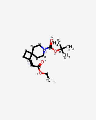 CCOC(=O)/C=C1/CCC12CCN(C(=O)OC(C)(C)C)CC2